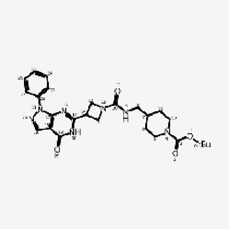 CC(C)(C)OC(=O)N1CCC(CNC(=O)N2CC(c3nc4c(cnn4-c4ccccc4)c(=O)[nH]3)C2)CC1